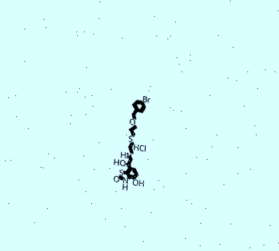 Cl.O=c1[nH]c2c(O)ccc([C@@H](O)CNCCCSCCCOCCc3ccc(Br)cc3)c2s1